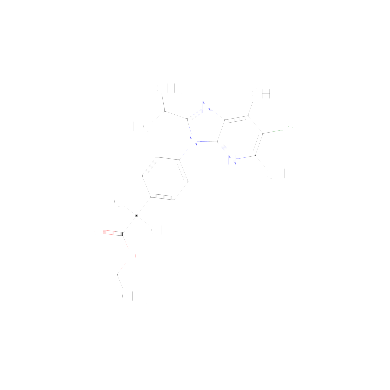 CCOC(=O)C(C)(C)c1ccc(-n2c(C(C)C)nc3c(C)c(Br)c(C)nc32)cc1